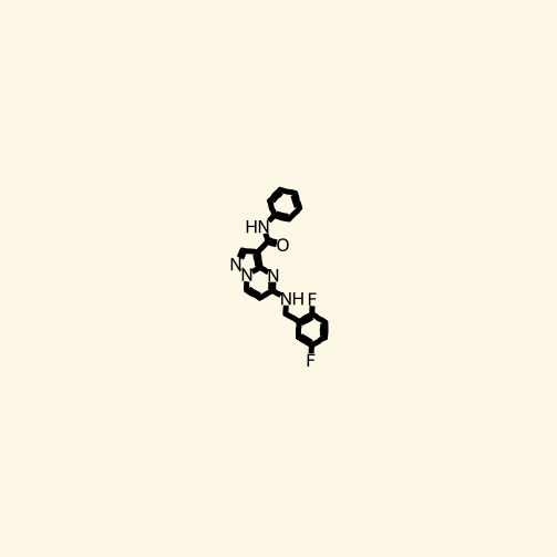 O=C(Nc1ccccc1)c1cnn2ccc(NCc3cc(F)ccc3F)nc12